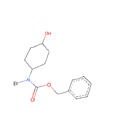 CCN(C(=O)OCc1ccccc1)C1CCC(O)CC1